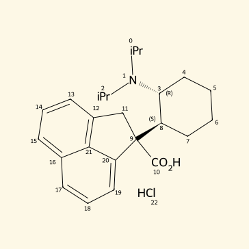 CC(C)N(C(C)C)[C@@H]1CCCC[C@H]1C1(C(=O)O)Cc2cccc3cccc1c23.Cl